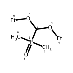 CCOC(OCC)P(C)(C)=O